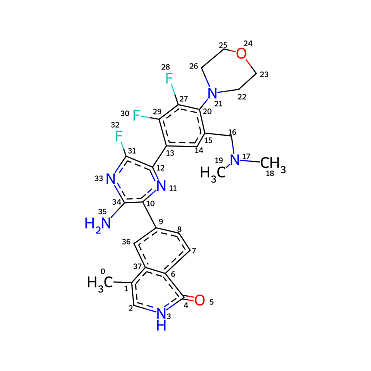 Cc1c[nH]c(=O)c2ccc(-c3nc(-c4cc(CN(C)C)c(N5CCOCC5)c(F)c4F)c(F)nc3N)cc12